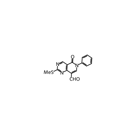 CSc1ncc2c(=O)n(-c3ccccc3)cc(C=O)c2n1